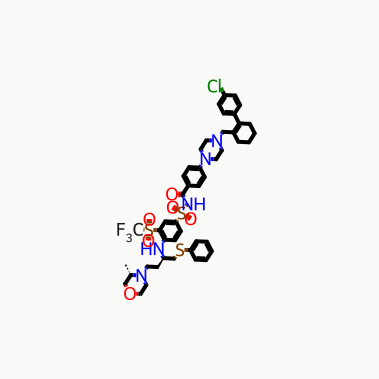 C[C@H]1COCCN1CC[C@H](CSc1ccccc1)Nc1ccc(S(=O)(=O)NC(=O)c2ccc(N3CCN(CC4=C(c5ccc(Cl)cc5)CCCC4)CC3)cc2)cc1S(=O)(=O)C(F)(F)F